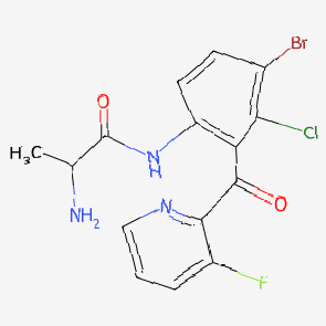 CC(N)C(=O)Nc1ccc(Br)c(Cl)c1C(=O)c1ncccc1F